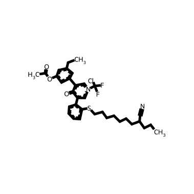 CCCC(C#N)CCCCCCCSc1ccccc1-c1cn(C(F)(F)Cl)cc(-c2cc(CC)cc(OC(C)=O)c2)c1=O